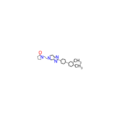 Cc1ccc(-c2ccc(-c3nc4ccn(CCN5CCCC5=O)cc-4n3)cc2)cc1C